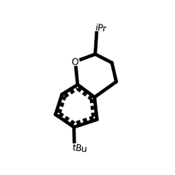 CC(C)C1CCc2cc(C(C)(C)C)ccc2O1